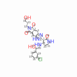 O=C1c2cc3nc(-c4c(NC[C@@H](O)c5cccc(Cl)c5)cc[nH]c4=O)[nH]c3cc2C(=O)N1CCCO